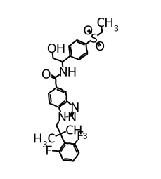 CCS(=O)(=O)c1ccc(C(CO)NC(=O)c2ccc3c(c2)nnn3CC(C)(C)c2c(F)cccc2F)cc1